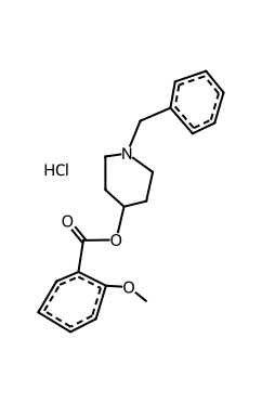 COc1ccccc1C(=O)OC1CCN(Cc2ccccc2)CC1.Cl